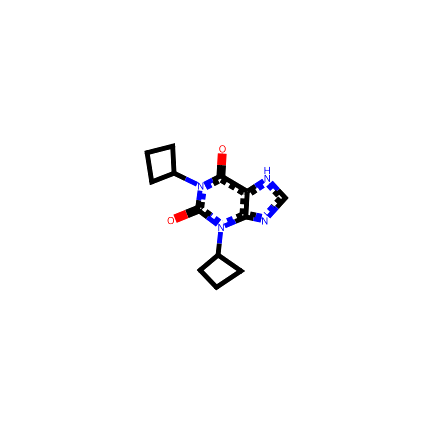 O=c1c2[nH]cnc2n(C2CCC2)c(=O)n1C1CCC1